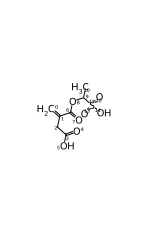 C=C(CC(=O)O)C(=O)OC(C)S(=O)(=O)O